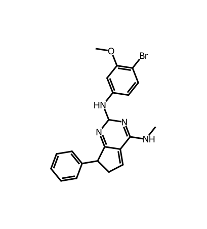 CNC1=NC(Nc2ccc(Br)c(OC)c2)N=C2C1=CCC2c1ccccc1